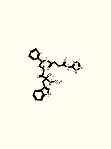 CC(Cc1c[nH]c2ccccc12)(NC(=O)O)C(=O)NCC(NC(=O)CCC(=O)Nc1nnn[nH]1)c1ccccc1